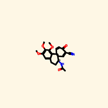 COc1cc2c(c(OC)c1OC)-c1ccc(=O)c(C#N)cc1[C@@H](NC(C)=O)CC2